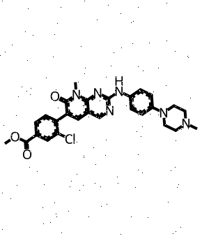 COC(=O)c1ccc(-c2cc3cnc(Nc4ccc(N5CCN(C)CC5)cc4)nc3n(C)c2=O)c(Cl)c1